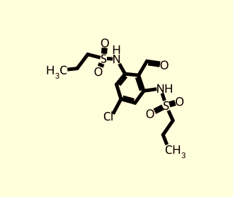 CCCS(=O)(=O)Nc1cc(Cl)cc(NS(=O)(=O)CCC)c1C=O